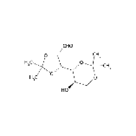 CC1(C)OC[C@@H](O)[C@H]([C@@H]2OC(C)(C)O[C@@H]2C=O)O1